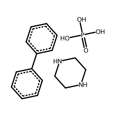 C1CNCCN1.O=P(O)(O)O.c1ccc(-c2ccccc2)cc1